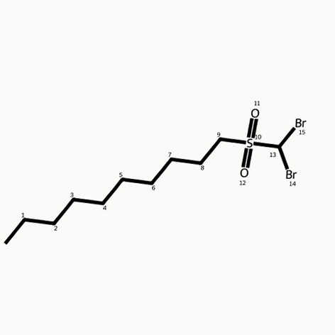 CCCCCCCCCCS(=O)(=O)C(Br)Br